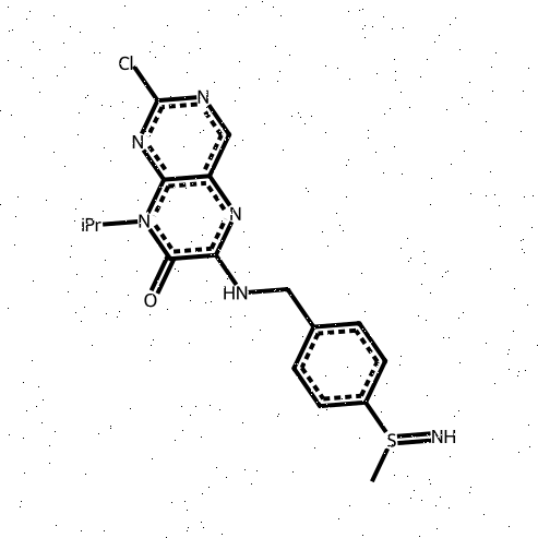 CC(C)n1c(=O)c(NCc2ccc(S(C)=N)cc2)nc2cnc(Cl)nc21